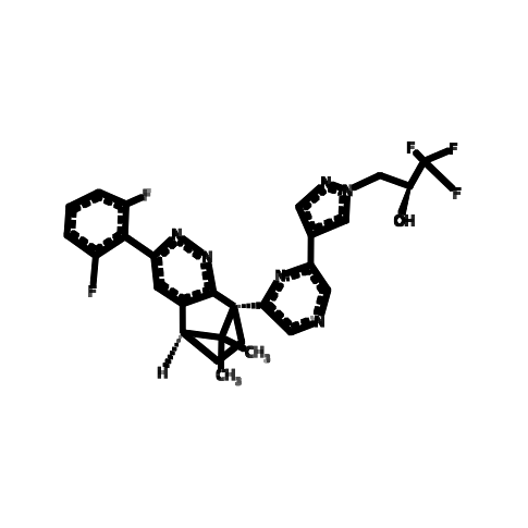 CC1(C)[C@H]2CC[C@]1(c1cncc(-c3cnn(C[C@H](O)C(F)(F)F)c3)n1)c1nnc(-c3c(F)cccc3F)cc12